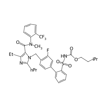 CCCc1nc(CC)c(C(=O)N(C)c2ccccc2C(F)(F)F)n1Cc1ccc(-c2ccccc2S(=O)(=O)NC(=O)OCCC(C)C)cc1F